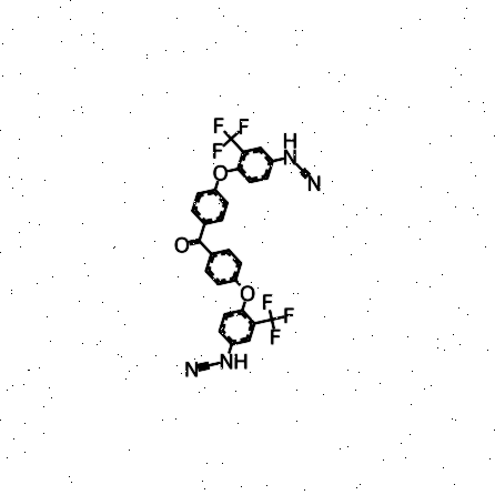 N#CNc1ccc(Oc2ccc(C(=O)c3ccc(Oc4ccc(NC#N)cc4C(F)(F)F)cc3)cc2)c(C(F)(F)F)c1